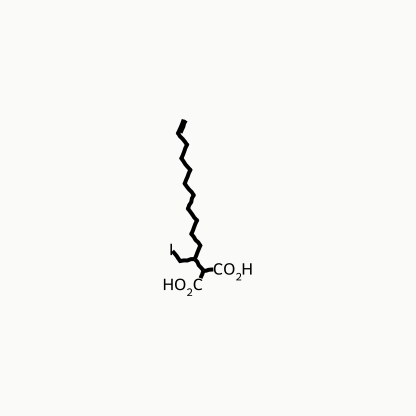 C=CCCCCCCCCCC(CI)C(C(=O)O)C(=O)O